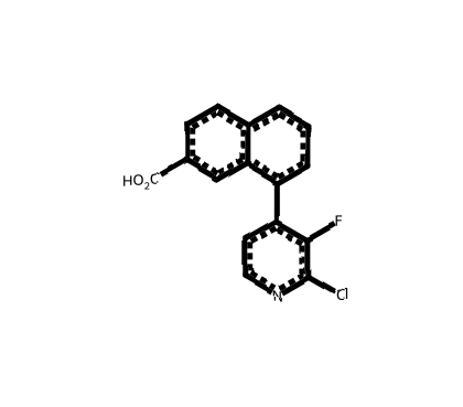 O=C(O)c1ccc2cccc(-c3ccnc(Cl)c3F)c2c1